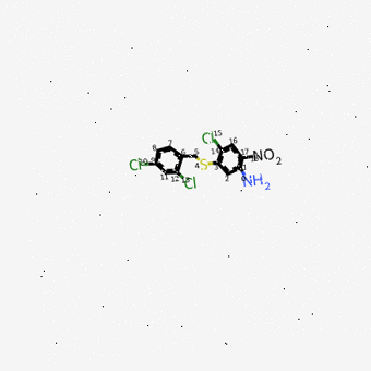 Nc1cc(SCc2ccc(Cl)cc2Cl)c(Cl)cc1[N+](=O)[O-]